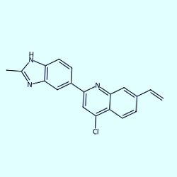 C=Cc1ccc2c(Cl)cc(-c3ccc4[nH]c(C)nc4c3)nc2c1